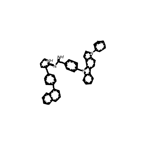 N=C(/N=c1\[nH]cccc1-c1ccc(-c2cccc3ccccc23)cc1)c1ccc(-n2c3ccccc3c3ccc4c(ccn4-c4ccccc4)c32)cc1